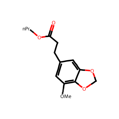 CCCOC(=O)CCc1cc(OC)c2c(c1)OCO2